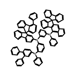 c1ccc(-c2ccc(N(c3ccccc3)c3cccc(N(c4cccc(N(c5ccccc5)c5c6c(cc7ccccc57)C5(c7ccccc7-c7ccccc75)c5ccccc5-6)c4)c4ccc5c(c4)C4(c6ccccc6-5)c5ccccc5-c5c(-c6ccccc6)cccc54)c3)cc2-c2ccccc2)cc1